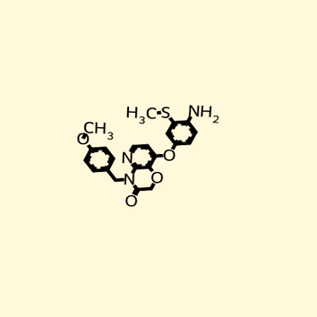 COc1ccc(CN2C(=O)COc3c(Oc4ccc(N)c(SC)c4)ccnc32)cc1